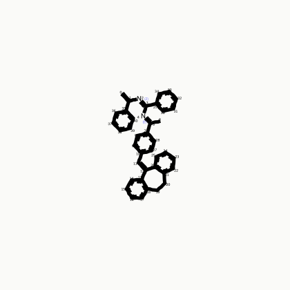 C=C(/N=C(\N=C(/C)c1ccc(C=C2c3ccccc3CCc3ccccc32)cc1)c1ccccc1)c1ccccc1